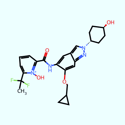 CC(F)(F)c1cccc(C(=O)Nc2cc3cn([C@H]4CC[C@H](O)CC4)nc3cc2OCC2CC2)[n+]1O